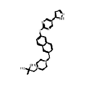 CC(O)(C=O)CN1CCN(Cc2ccc3cc(Oc4ncc(-c5ccn[nH]5)cn4)ccc3c2)CC1